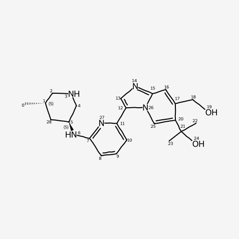 C[C@@H]1CNC[C@@H](Nc2cccc(-c3cnc4cc(CO)c(C(C)(C)O)cn34)n2)C1